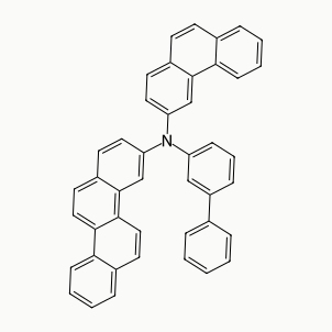 c1ccc(-c2cccc(N(c3ccc4ccc5ccccc5c4c3)c3ccc4ccc5c6ccccc6ccc5c4c3)c2)cc1